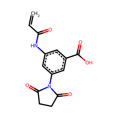 C=CC(=O)Nc1cc(C(=O)O)cc(N2C(=O)CCC2=O)c1